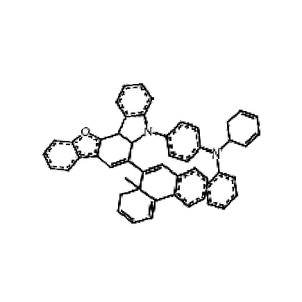 CC12CC=CC=C1c1ccccc1C=C2C1=Cc2c(oc3ccccc23)C2c3ccccc3N(c3ccc(N(c4ccccc4)C4C=CC=CC4)cc3)C12